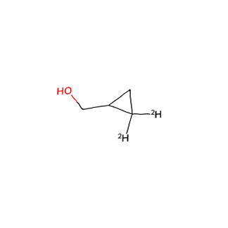 [2H]C1([2H])CC1CO